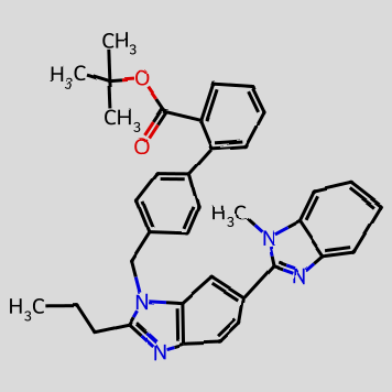 CCCc1nc2ccc(-c3nc4ccccc4n3C)cc2n1Cc1ccc(-c2ccccc2C(=O)OC(C)(C)C)cc1